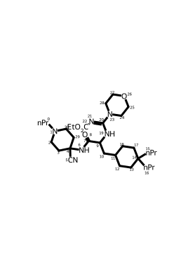 CCCN1CCC(C#N)(NC(=O)C(CC2CCC(CCC)(CCC)CC2)N/C(=N\C(=O)OCC)N2CCOCC2)CC1